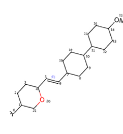 CCCC1CCC(/C=C/C2CCC(C3CCC(OC)CC3)CC2)OC1